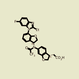 CCc1nc2ccc(F)cc2n1-c1cccc2c1OC[C@@H]2N(C(=O)C(F)(F)F)c1ccc2c(c1)OC[C@H]2CC(=O)O